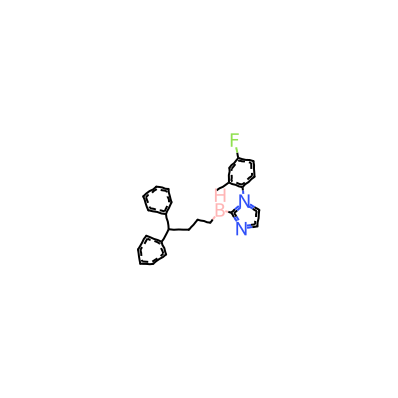 Cc1cc(F)ccc1-n1ccnc1BCCCC(c1ccccc1)c1ccccc1